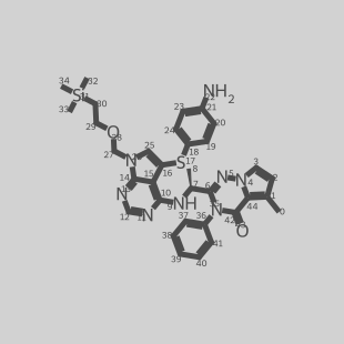 Cc1ccn2nc([C@H](C)Nc3ncnc4c3c(Sc3ccc(N)cc3)cn4COCC[Si](C)(C)C)n(-c3ccccc3)c(=O)c12